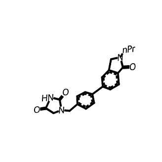 CCCN1Cc2cc(-c3ccc(CN4CC(=O)NC4=O)cc3)ccc2C1=O